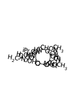 C=CC(=O)N1CCC(O)(C(=O)N(C)[C@H](C(=O)N[C@H]2Cc3cccc(c3)-c3ccc4c(c3)c(c(-c3cc(C5CN(C)C5)cnc3[C@H](C)OC)n4CC)CC(C)(C)COC[C@@]3(C=O)CCCN(N3)C2=O)C(C)C)C1